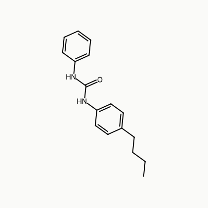 CCCCc1ccc(NC(=O)Nc2ccccc2)cc1